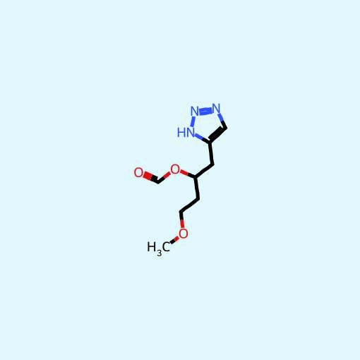 COCCC(Cc1cnn[nH]1)OC=O